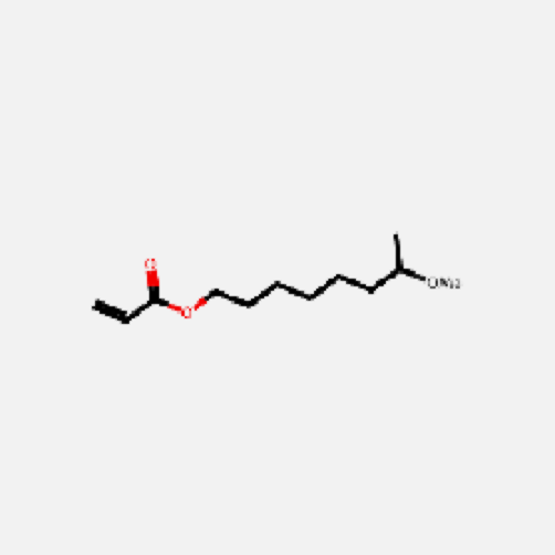 C=CC(=O)OCCCCCCC(C)OC